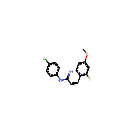 COc1ccc(/C=C\C(=N)Nc2ccc(Cl)cc2)c(F)c1